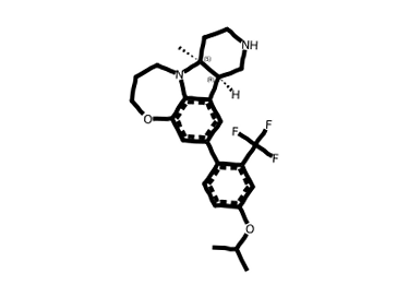 CC(C)Oc1ccc(-c2cc3c4c(c2)[C@@H]2CNCC[C@]2(C)N4CCCO3)c(C(F)(F)F)c1